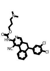 CN(C)CCCOC(=O)Nc1ncc2c(c1C#N)-c1ccccc1C(c1ccc(Cl)c(Cl)c1)C2